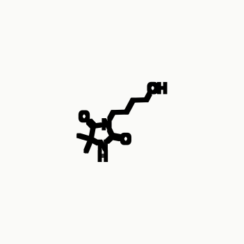 CC1(C)NC(=O)N(CCCCO)C1=O